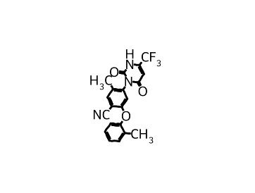 Cc1ccccc1Oc1cc(-n2c(=O)cc(C(F)(F)F)[nH]c2=O)c(C)cc1C#N